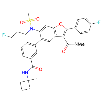 CNC(=O)c1c(-c2ccc(F)cc2)oc2cc(N(CCCF)S(C)(=O)=O)c(-c3cccc(C(=O)NC4(C)CCC4)c3)cc12